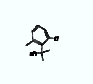 CCCC(C)(C)c1c(C)cccc1Cl